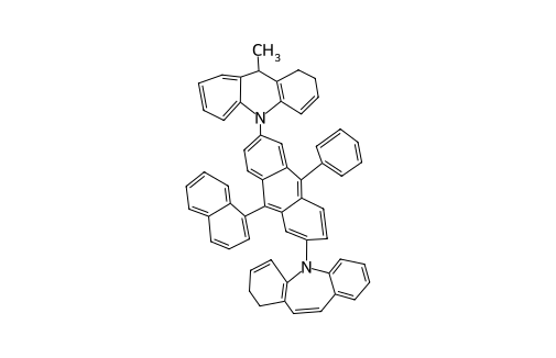 CC1C2=C(C=CCC2)N(c2ccc3c(-c4cccc5ccccc45)c4cc(N5C6=C(C=Cc7ccccc75)CCC=C6)ccc4c(-c4ccccc4)c3c2)c2ccccc21